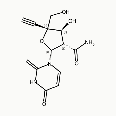 C#C[C@]1(CO)O[C@@H](N2C=CC(=O)NC2=C)[C@@H](C(N)=O)[C@@H]1O